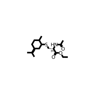 CCOC(=O)[C@H](CSC1CC(=C(C)C)CCC1C)NC(C)=O